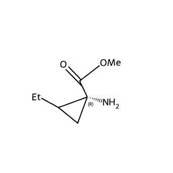 CCC1C[C@]1(N)C(=O)OC